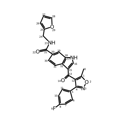 Cc1onc(-c2ccc(F)cc2)c1C(=O)c1c[nH]c2cc(C(=O)NCc3ccco3)ccc12